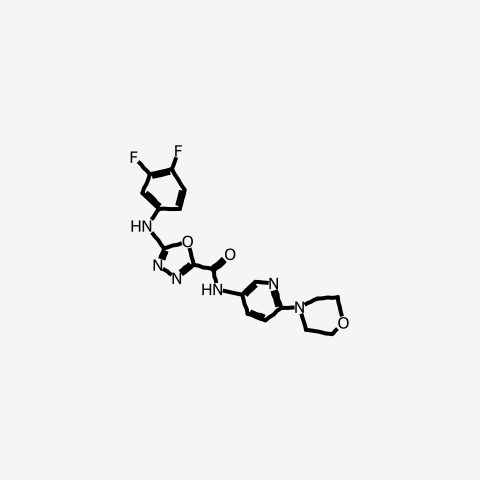 O=C(Nc1ccc(N2CCOCC2)nc1)c1nnc(Nc2ccc(F)c(F)c2)o1